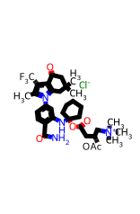 CC(=O)OC(CC(=O)OC1(Nc2cc(-n3c(C)c(C(F)(F)F)c4c3CC(C)(C)CC4=O)ccc2C(N)=O)CCCCC1)C[N+](C)(C)C.[Cl-]